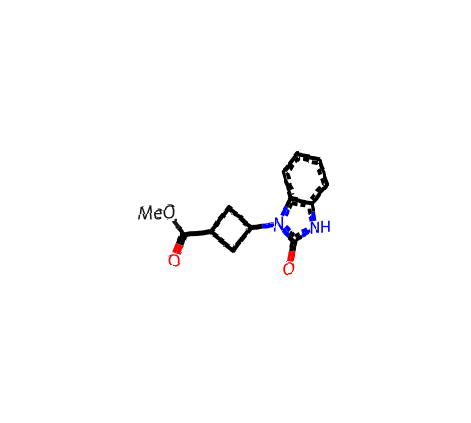 COC(=O)C1CC(n2c(=O)[nH]c3ccccc32)C1